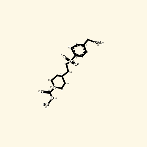 CSCc1ccc(S(=O)(=O)CCC2CCN(C(=O)OC(C)(C)C)CC2)cc1